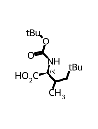 CC(CC(C)(C)C)[C@H](NC(=O)OC(C)(C)C)C(=O)O